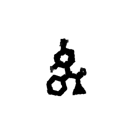 O=C(C1CC1)N(c1ccc(Br)cc1F)C1CCCCC1